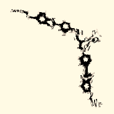 COCOc1ccc2nc(-c3ccc(NCC(CNc4ccc(-c5nc6ccc(OCOC)cc6s5)cc4)OS(C)(=O)=O)cc3)sc2c1